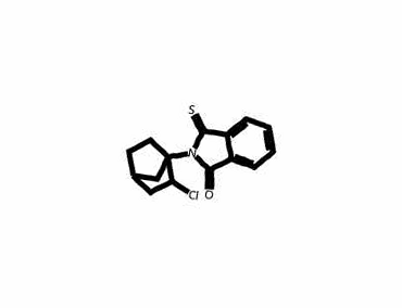 O=C1c2ccccc2C(=S)N1C12CCC(CC1Cl)C2